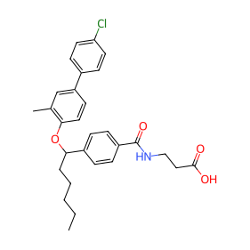 CCCCCC(Oc1ccc(-c2ccc(Cl)cc2)cc1C)c1ccc(C(=O)NCCC(=O)O)cc1